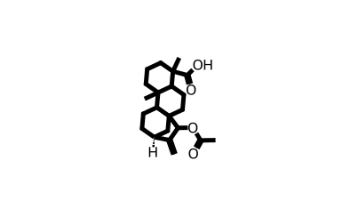 C=C1C(OC(C)=O)C23CCC4C(C)(C(=O)O)CCCC4(C)C2CC[C@H]1C3